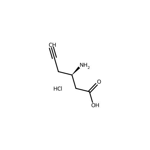 C#CC[C@@H](N)CC(=O)O.Cl